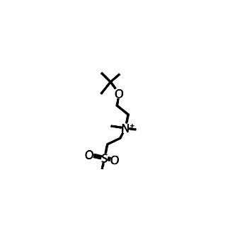 CC(C)(C)OCC[N+](C)(C)CCS(C)(=O)=O